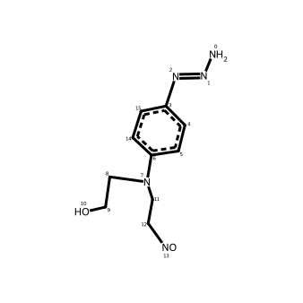 NN=Nc1ccc(N(CCO)CCN=O)cc1